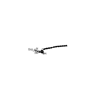 C#CC#CC#CC#CC#CC#CC#CC#CC#CC#CC#COc1cc(O)cc(COC(=O)NNC(=O)OCC)c1